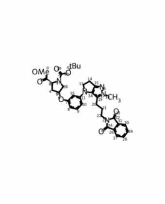 COC(=O)[C@@H]1C[C@H](Oc2cccc(N3CCc4nn(C)c(CCCN5C(=O)c6ccccc6C5=O)c43)c2)CN1C(=O)OC(C)(C)C